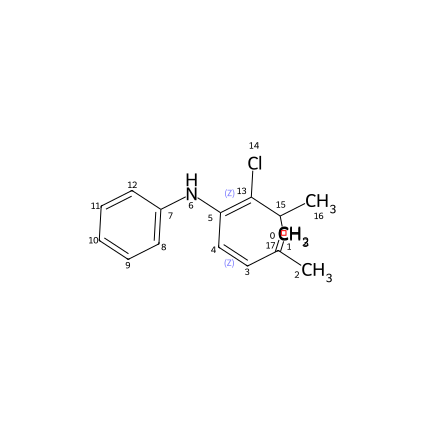 C=C(C)/C=C\C(Nc1ccccc1)=C(\Cl)C(C)C